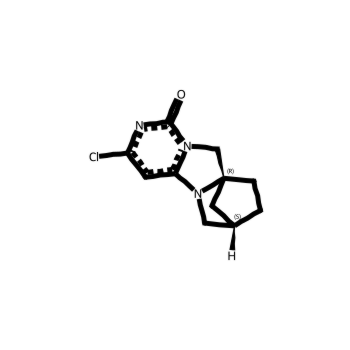 O=c1nc(Cl)cc2n1C[C@]13CC[C@H](CN21)C3